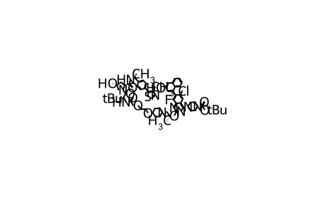 Cc1ncsc1-c1ccc([C@H](C)NC(=O)[C@@H]2C[C@@H](O)CN2C(=O)[C@@H](NC(=O)COCCOC2CCN(C[C@@H](C)Oc3nc(N4CCN(C(=O)OC(C)(C)C)CC4)c4cc(Cl)c(-c5cc(O)cc6ccccc56)c(F)c4n3)CC2)C(C)(C)C)cc1